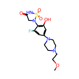 COCCN1CCN(c2cc(O)c(N3CC(=O)NS3(=O)=O)c(F)c2)CC1